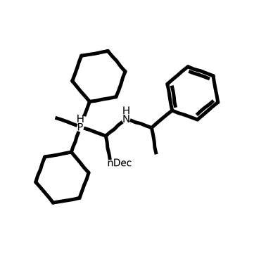 CCCCCCCCCCC(NC(C)c1ccccc1)[PH](C)(C1CCCCC1)C1CCCCC1